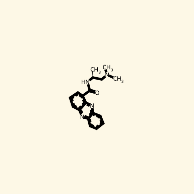 C[C@H](CN(C)C)NC(=O)c1cccc2nc3ccccc3nc12